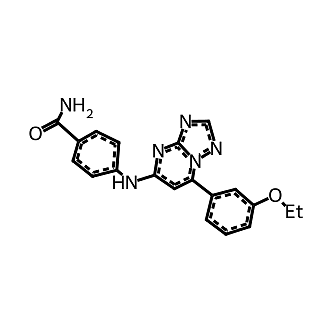 CCOc1cccc(-c2cc(Nc3ccc(C(N)=O)cc3)nc3ncnn23)c1